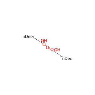 CCCCCCCCCCCCCCCCC(O)COCCOCCOCC(O)CCCCCCCCCCCCCCCC